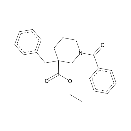 CCOC(=O)C1(Cc2ccccc2)CCCN(C(=O)c2ccccc2)C1